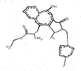 CCOC(=O)N(C)c1c2c(c(O)c3ncccc13)C(=O)N(Cc1ccc(F)cc1)C2C